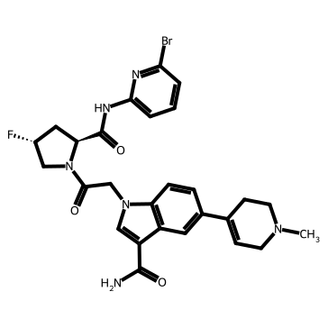 CN1CC=C(c2ccc3c(c2)c(C(N)=O)cn3CC(=O)N2C[C@H](F)C[C@H]2C(=O)Nc2cccc(Br)n2)CC1